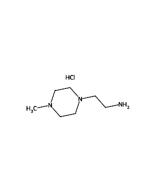 CN1CCN(CCN)CC1.Cl